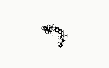 C[C@]1(N2CCN(c3cc4cc(NC(=O)[C@@H]5C[C@H]5c5ccco5)ncc4cc3Cl)CC2)COC[C@H]1O